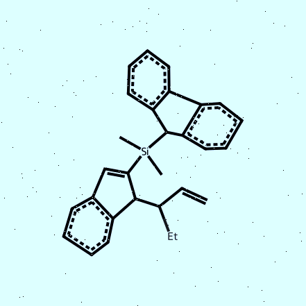 C=CC(CC)C1C([Si](C)(C)C2c3ccccc3-c3ccccc32)=Cc2ccccc21